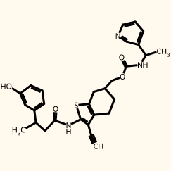 C#Cc1c(NC(=O)CC(C)c2cccc(O)c2)sc2c1CCC(COC(=O)NC(C)c1cccnc1)C2